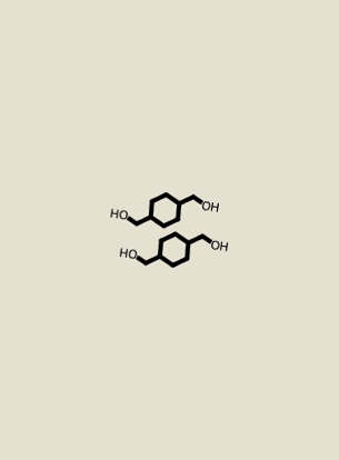 OCC1CCC(CO)CC1.OCC1CCC(CO)CC1